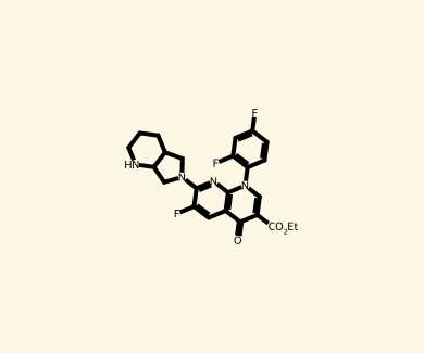 CCOC(=O)c1cn(-c2ccc(F)cc2F)c2nc(N3CC4CCCNC4C3)c(F)cc2c1=O